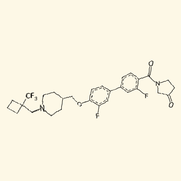 O=C1CCN(C(=O)c2ccc(-c3ccc(OCC4CCN(CC5(C(F)(F)F)CCC5)CC4)c(F)c3)cc2F)C1